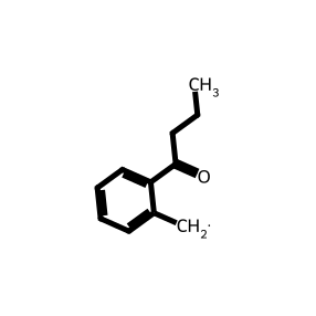 [CH2]c1ccccc1C(=O)CCC